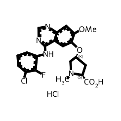 COc1cc2ncnc(Nc3cccc(Cl)c3F)c2cc1O[C@@H]1C[C@@H](C(=O)O)N(C)C1.Cl